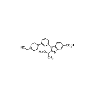 COC(C)c1nc2cc(C(=O)O)ccc2n1-c1cccc(N2CCN(CC#N)CC2)c1